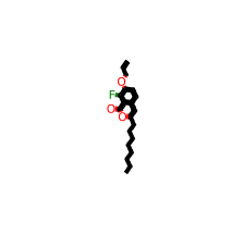 C=CCOc1ccc2cc(CCCCCCCC)oc(=O)c2c1F